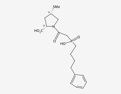 CS[C@H]1C[C@@H](C(=O)O)N(C(=O)CP(=O)(O)CCCCc2ccccc2)C1